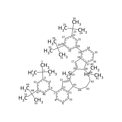 CC(C)(C)c1cc(-c2cccc3c2C=C2[SiH2]C4=Cc5c(-c6cc(C(C)(C)C)cc(C(C)(C)C)c6)cccc5[CH]4[Hf]([CH3])([CH3])[CH2]CCC23)cc(C(C)(C)C)c1